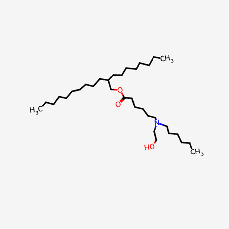 CCCCCCCCCCC(CCCCCCCC)COC(=O)CCCCCN(CCO)CCCCCC